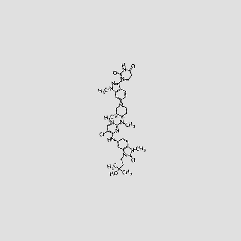 C[C@@H]1CN(c2ccc3c(N4CCC(=O)NC4=O)nn(C)c3c2)CC[C@@H]1N(C)c1ncc(Cl)c(Nc2ccc3c(c2)n(CCC(C)(C)O)c(=O)n3C)n1